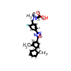 Cc1ccccc1-c1ccc(-c2nc(-c3ccc(CN(C)CC(=O)O)c(F)c3)no2)cc1C